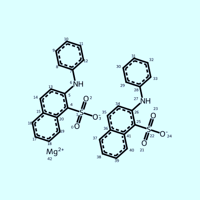 O=S(=O)([O-])c1c(Nc2ccccc2)ccc2ccccc12.O=S(=O)([O-])c1c(Nc2ccccc2)ccc2ccccc12.[Mg+2]